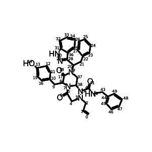 C=CCN1CC(=O)N2C(Cc3ccc(O)cc3)C(=O)N(C(Cc3ccccc3)c3n[nH]c4ccccc34)CC2N1C(=O)NCc1ccccc1